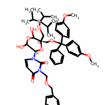 COc1ccc(C(OC[C@@]2(CO[Si](C(C)C)(C(C)C)C(C)C)O[C@@H](n3ccc(=O)n(COCc4ccccc4)c3=O)C(O)OC2O)(c2ccccc2)c2ccc(OC)cc2)cc1